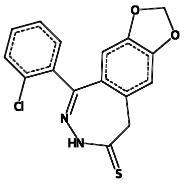 S=C1Cc2cc3c(cc2C(c2ccccc2Cl)=NN1)OCO3